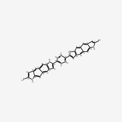 Fc1cc2cc3cc4sc(-c5nnc(-c6cc7cc8cc9sc(F)cc9cc8cc7s6)nn5)cc4cc3cc2s1